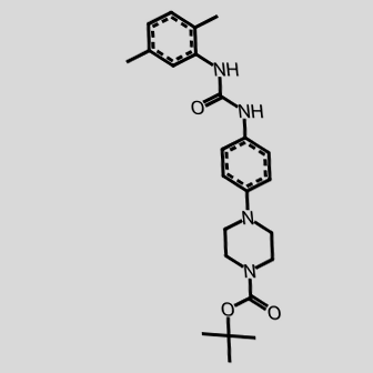 Cc1ccc(C)c(NC(=O)Nc2ccc(N3CCN(C(=O)OC(C)(C)C)CC3)cc2)c1